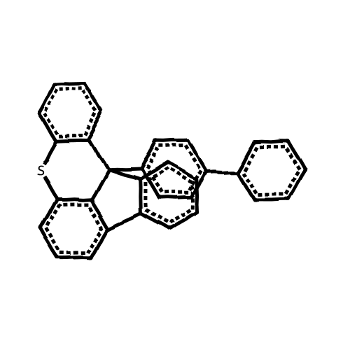 c1ccc(-c2ccc(C34c5ccccc5Sc5cccc(c53)-c3ccccc34)cc2)cc1